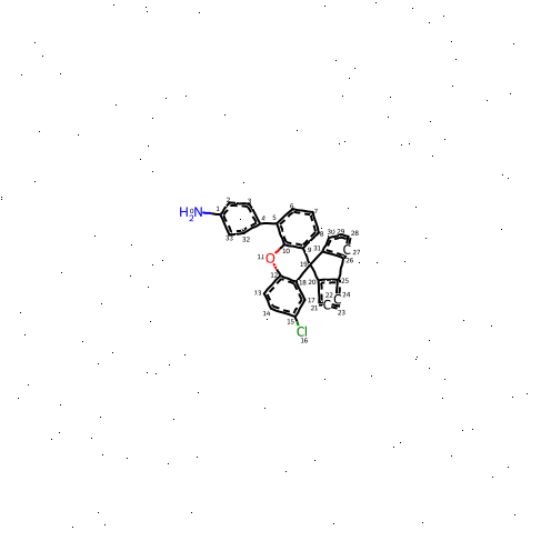 Nc1ccc(-c2cccc3c2Oc2ccc(Cl)cc2C32c3ccccc3-c3ccccc32)cc1